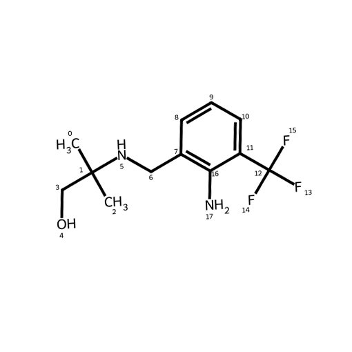 CC(C)(CO)NCc1cccc(C(F)(F)F)c1N